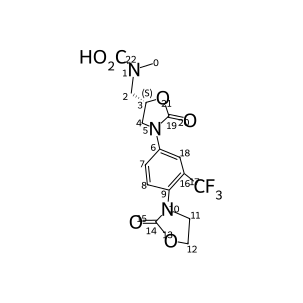 CN(C[C@H]1CN(c2ccc(N3CCOC3=O)c(C(F)(F)F)c2)C(=O)O1)C(=O)O